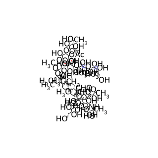 CC(=O)OC1C(C)OC(OC2C(C)OC(OC(=O)[C@]34CCC(C)(C)CC3C3=CCC5[C@@]6(C)CC[C@H](OC(CO)(OC(O)C(O)C(O)C(O)CCO)C(OC(O)C(O)C(O)C(C)O)C(O)CC(=O)NC(C)(CO)CO)[C@@](C)(C=O)C6CC[C@@]5(C)[C@]3(C)C[C@H]4O)C(OC3OC(C)C(OC(O)/C(O)=C(/OC(O)/C(O)=C(/O)C(O)CCO)C(C)O)C(O)C3O)C2O)C(O)C1OC(O)C(O)C(O)C(C)O